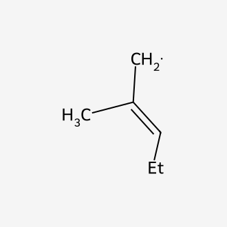 [CH2]/C(C)=C/CC